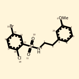 COc1cccc(CCNS(=O)(=O)c2cc(Br)ccc2Cl)c1